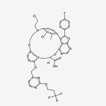 Cc1c2ccc(c1Cl)N(CCCl)CCOc1ccc(OCc3ccnc(OCCC(F)(F)F)n3)c(c1)C[C@H](C(=O)O)Oc1ncnc3sc(-c4ccc(F)cc4)c-2c13